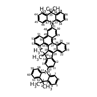 CC1(C)c2ccccc2N(c2ccc3c(c2)C(C)(C)c2c-3c3ccccc3c3c4ccc(N5c6ccccc6C(C)(C)c6ccccc65)cc4c4ccccc4c23)c2ccccc21